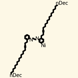 CCCCCCCCCCCCCCCCCCCCCCCCC#CCCc1ccccc1N=CC=Nc1ccccc1CCC#CCCCCCCCCCCCCCCCCCCCCCCCC.[Ni]